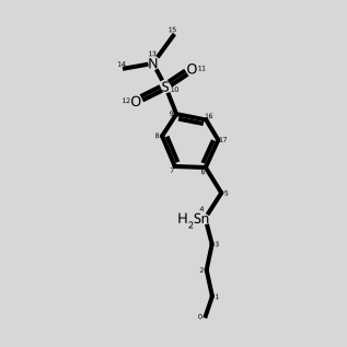 CCC[CH2][SnH2][CH2]c1ccc(S(=O)(=O)N(C)C)cc1